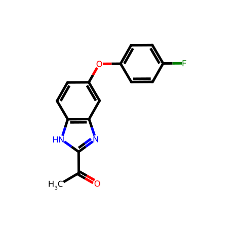 CC(=O)c1nc2cc(Oc3ccc(F)cc3)ccc2[nH]1